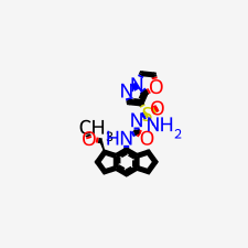 COC[C@@H]1CCc2cc3c(c(NC(=O)N=[S@](N)(=O)c4cnn5c4OCC5)c21)CCC3